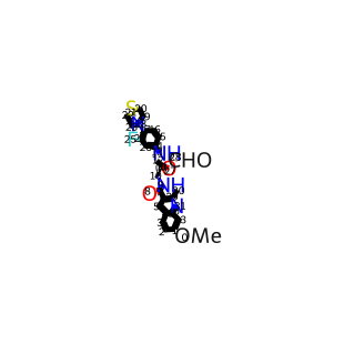 COc1ccc2cc(C(=O)NC[C@@H](CNc3ccc(N4CCSCC4)c(F)c3)OC=O)c(C)nc2c1